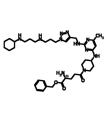 Cc1cc(NC2CCN(C(=O)CC[C@H](N)C(=O)OCc3ccccc3)CC2)nc(NCc2cn(CCCNCCCNC3CCCCC3)nn2)n1